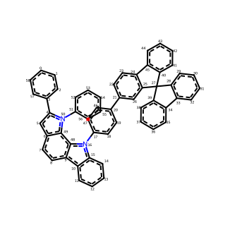 c1ccc(-c2cc3ccc4c5ccccc5n(-c5ccc(-c6ccc7c(c6)C6(c8ccccc8-c8ccccc86)c6ccccc6-7)cc5)c4c3n2-c2ccccc2)cc1